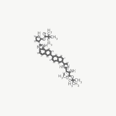 CC[C@@H](C(=N)C(=O)OC(C)(C)C)c1ncc(-c2ccc3cc(-c4ccc5c(ccc6nc([C@@H]7CCNC7OC(=O)C(C)(C)C)[nH]c65)c4)ccc3c2)[nH]1